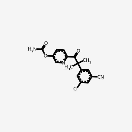 CC(C)(C(=O)c1ccc(OC(N)=O)cn1)c1cc(Cl)cc(C#N)c1